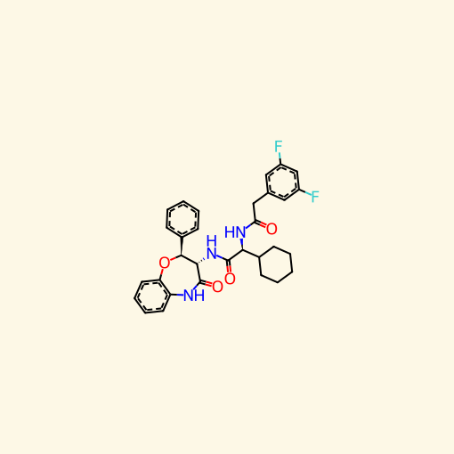 O=C(Cc1cc(F)cc(F)c1)N[C@H](C(=O)N[C@@H]1C(=O)Nc2ccccc2O[C@H]1c1ccccc1)C1CCCCC1